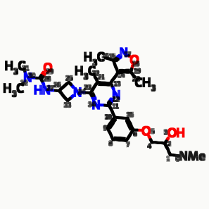 CNCC(O)COc1cccc(-c2nc(-c3c(C)noc3C)c(C)c(N3CC(NC(=O)N(C)C)C3)n2)c1